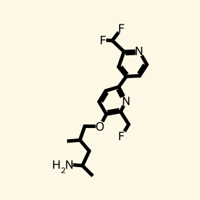 CC(N)CC(C)COc1ccc(-c2ccnc(C(F)F)c2)nc1CF